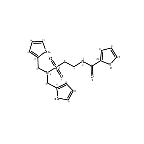 O=C(NCCS(=O)(=O)N(Cc1cccs1)Cc1cccs1)c1cccs1